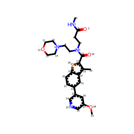 CNC(=O)CCN(CCN1CCOCC1)C(=O)c1sc2ccc(-c3cncc(OC)c3)cc2c1C